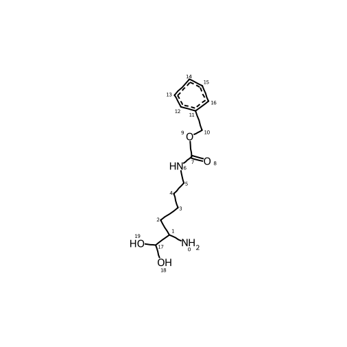 NC(CCCCNC(=O)OCc1ccccc1)C(O)O